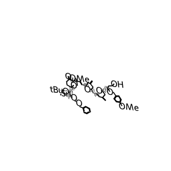 C=C1C[C@H](C[C@@H]2CC(=C)C[C@H](C=CC(C)(C)[C@]3(OC)O[C@H](C[C@@H](O[Si](C)(C)C(C)(C)C)[C@@H](C)OCOCc4ccccc4)CCC3=O)O2)O[C@H](C[C@H](CCO)OCc2ccc(OC)cc2)C1